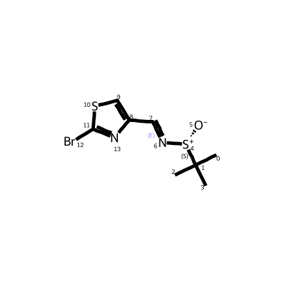 CC(C)(C)[S@@+]([O-])/N=C/c1csc(Br)n1